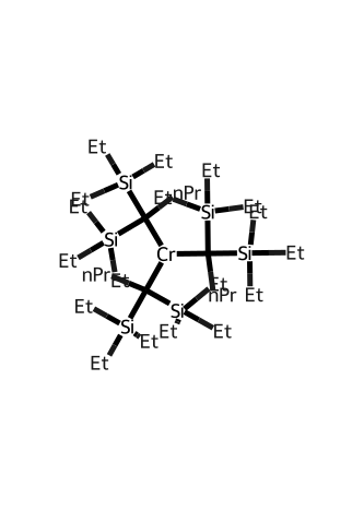 CCC[C]([Cr]([C](CCC)([Si](CC)(CC)CC)[Si](CC)(CC)CC)[C](CCC)([Si](CC)(CC)CC)[Si](CC)(CC)CC)([Si](CC)(CC)CC)[Si](CC)(CC)CC